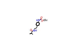 C=C(C)C(=O)NCCc1ccc(NC(=O)OC(C)(C)C)cc1